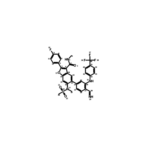 CNC(=O)c1c(-c2ccc(F)cc2)oc2cc(N(C)S(C)(=O)=O)c(-c3ccc(C=N)c(Nc4ccc(C(F)(F)F)cc4)c3)cc12